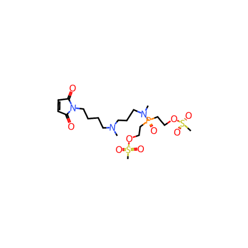 CN(CCCCN1C(=O)C=CC1=O)CCCN(C)P(=O)(CCOS(C)(=O)=O)CCOS(C)(=O)=O